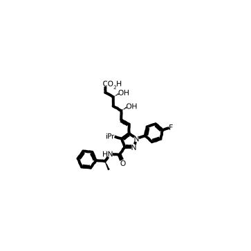 CC(C)c1c(C(=O)N[C@@H](C)c2ccccc2)nn(-c2ccc(F)cc2)c1/C=C/[C@@H](O)C[C@@H](O)CC(=O)O